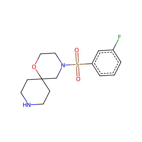 O=S(=O)(c1cccc(F)c1)N1CCOC2(CCNCC2)C1